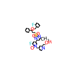 Cc1cc(-c2cc(F)c(=O)n(Cc3ccnc(CCO)c3)c2)nc(S(=O)(=O)CCC(OCc2ccccc2F)c2ccccc2)n1